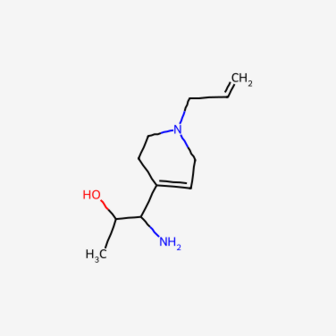 C=CCN1CC=C(C(N)C(C)O)CC1